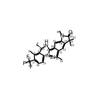 Cc1c([C@@H](C)Nc2nnc(C)c3cc4c(cc23)N(C)C(=O)C4(C)C)cccc1C(F)(F)F